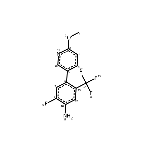 COc1ccc(-c2cc(F)c(N)cc2C(F)(F)F)cn1